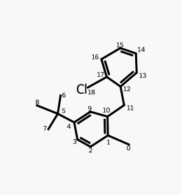 Cc1ccc(C(C)(C)C)cc1Cc1ccccc1Cl